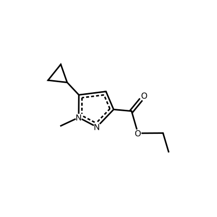 CCOC(=O)c1cc(C2CC2)n(C)n1